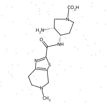 CN1CCc2nc(C(=O)N[C@H]3CCN(C(=O)O)C[C@H]3N)sc2C1